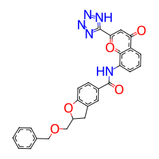 O=C(Nc1cccc2c(=O)cc(-c3nnn[nH]3)oc12)c1ccc2c(c1)CC(COCc1ccccc1)O2